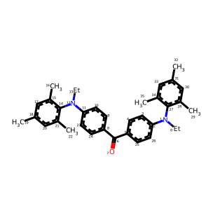 CCN(c1ccc(C(=O)c2ccc(N(CC)c3c(C)cc(C)cc3C)cc2)cc1)c1c(C)cc(C)cc1C